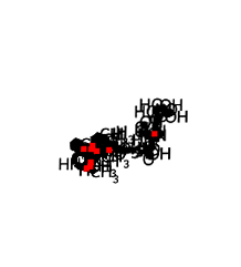 CC[C@@]1(O)CC2C[C@H](CNCCc3c([nH]c4ccccc34)[C@@]2(C(=O)OC)c2cc3c(cc2OC)N(C)[C@H]2[C@@](O)(C(=O)NNC(=O)OCCSSC[C@H](NC(=O)[C@H](Cc4cn(CCO[C@@H]5OC(C(=O)O)C(O)[C@H](O)C5O)nn4)NC(=O)[C@H](CC(=O)O)NC)C(=O)O)[C@H](O)[C@]4(CC)C=CCN5CC[C@]32[C@@H]54)C1